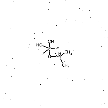 C[SiH](C)OP(O)(O)(F)F